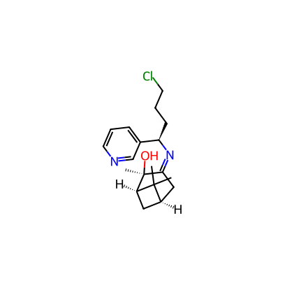 CC1(C)[C@H]2C/C(=N/[C@H](CCCCl)c3cccnc3)[C@](C)(O)[C@@H]1C2